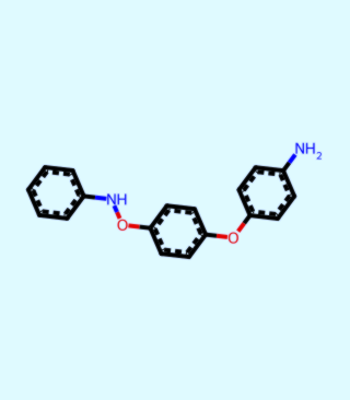 Nc1ccc(Oc2ccc(ONc3ccccc3)cc2)cc1